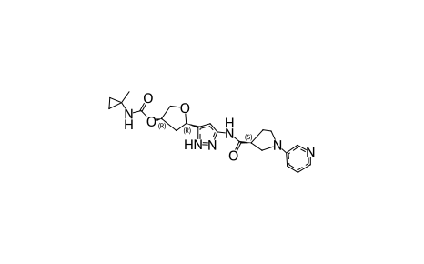 CC1(NC(=O)O[C@H]2CO[C@@H](c3cc(NC(=O)[C@H]4CCN(c5cccnc5)C4)n[nH]3)C2)CC1